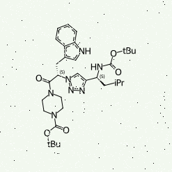 CC(C)C[C@H](NC(=O)OC(C)(C)C)c1cn([C@@H](Cc2c[nH]c3ccccc23)C(=O)N2CCN(C(=O)OC(C)(C)C)CC2)nn1